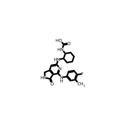 Cc1cc(Nc2nc(NC3CCCCC3NC(=O)O)cc3c2C(=O)NC3)ccc1F